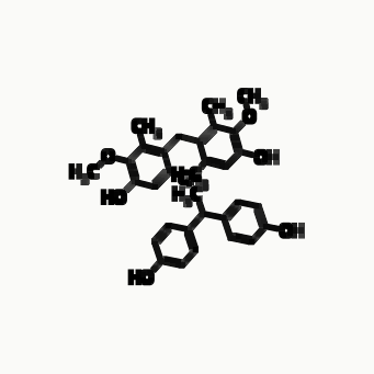 CC(c1ccc(O)cc1)c1ccc(O)cc1.COc1c(O)cc(C)c(Cc2c(C)cc(O)c(OC)c2C)c1C